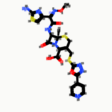 CO/N=C(\C(=O)N[C@@H]1C(=O)N2C(C(=O)O)=C(CSc3nnc(-c4ccncc4)o3)CS[C@H]12)c1csc(N)n1